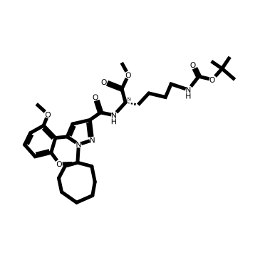 COC(=O)[C@H](CCCCNC(=O)OC(C)(C)C)NC(=O)c1cc(-c2c(OC)cccc2OC)n(C2CCCCCCC2)n1